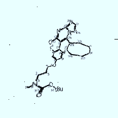 CN(CCCOc1cc(F)c(-c2c(Cl)nc3ncnn3c2C2CCCCCC2)c(F)c1)C(=O)OC(C)(C)C